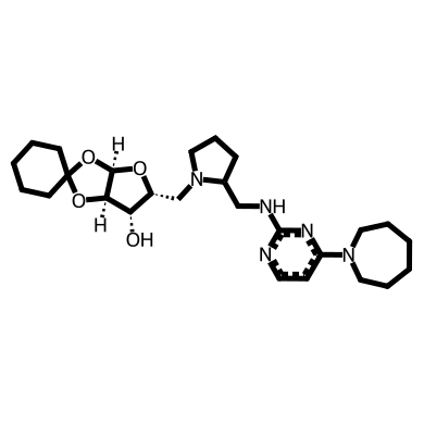 O[C@@H]1[C@H]2OC3(CCCCC3)O[C@H]2O[C@@H]1CN1CCCC1CNc1nccc(N2CCCCCC2)n1